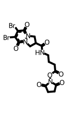 O=C(CCCNC(=O)C1Cn2c(=O)c(Br)c(Br)c(=O)n2C1)ON1C(=O)CCC1=O